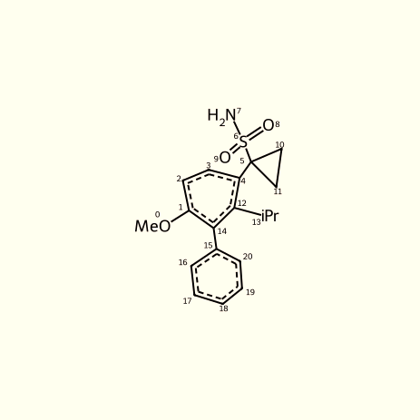 COc1ccc(C2(S(N)(=O)=O)CC2)c(C(C)C)c1-c1ccccc1